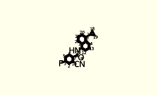 N#Cc1cc(F)ccc1C(=O)Nc1cccc2c(C3CC3)cccc12